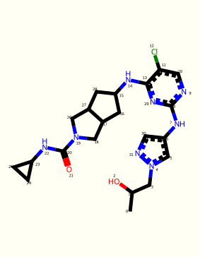 CC(O)Cn1cc(Nc2ncc(Cl)c(NC3CC4CN(C(=O)NC5CC5)CC4C3)n2)cn1